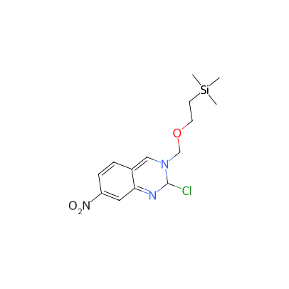 C[Si](C)(C)CCOCN1C=c2ccc([N+](=O)[O-])cc2=NC1Cl